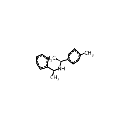 Cc1ccc([C@H](C)N[C@@H](C)c2ccccc2)cc1